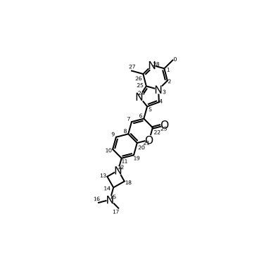 Cc1cn2cc(-c3cc4ccc(N5CC(N(C)C)C5)cc4oc3=O)nc2c(C)n1